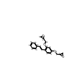 C(=Cc1ccc(OCC2CO2)cc1OCC1CO1)c1ccccc1